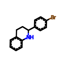 Brc1ccc(C2CCc3ccccc3N2)cc1